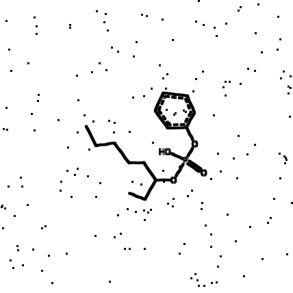 CCCCCC(CC)OP(=O)(O)Oc1ccccc1